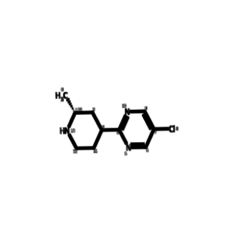 C[C@@H]1CC(c2ncc(Cl)cn2)CCN1